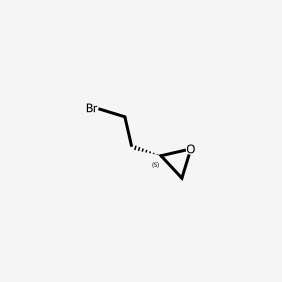 BrCC[C@H]1CO1